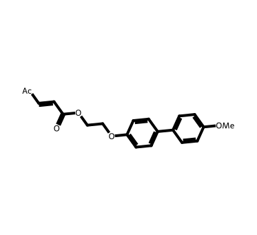 COc1ccc(-c2ccc(OCCOC(=O)C=CC(C)=O)cc2)cc1